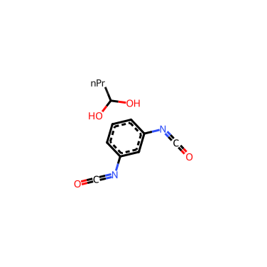 CCCC(O)O.O=C=Nc1cccc(N=C=O)c1